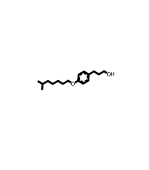 CC(C)CCCCCOc1ccc(CCCO)cc1